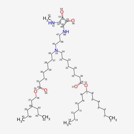 CCCCCCCC(CCCCCCC)OC(=O)CCCCCCCN(CCCCCCCC(=O)OCCC(CCC)CCC)CCCNc1c(NC)c(=O)c1=O